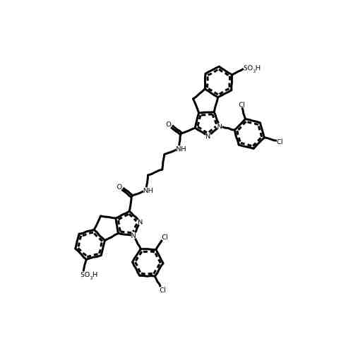 O=C(NCCCNC(=O)c1nn(-c2ccc(Cl)cc2Cl)c2c1Cc1ccc(S(=O)(=O)O)cc1-2)c1nn(-c2ccc(Cl)cc2Cl)c2c1Cc1ccc(S(=O)(=O)O)cc1-2